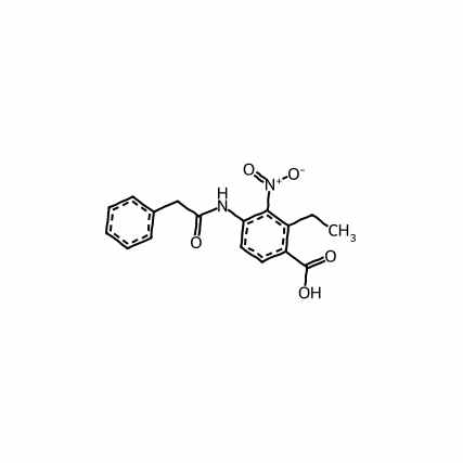 CCc1c(C(=O)O)ccc(NC(=O)Cc2ccccc2)c1[N+](=O)[O-]